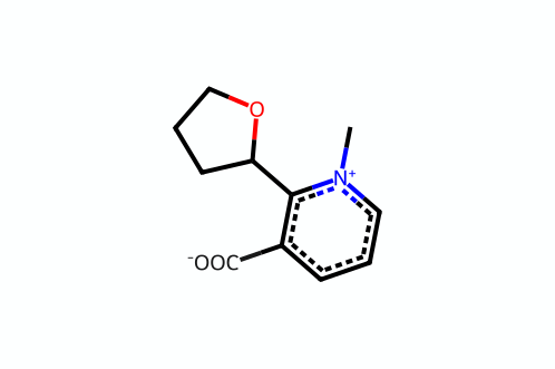 C[n+]1cccc(C(=O)[O-])c1C1CCCO1